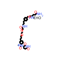 Cn1c(=O)n(C2CCC(=O)NC2=O)c2ccc(CCCOCCOCC(=O)NCCCc3ccc(COC[C@H](CCC(N)=O)NC=O)cc3)cc21